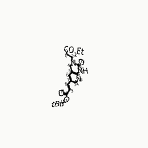 CCOC(=O)CCN1Cc2cc(/C=C/C(=O)OC(C)(C)C)cnc2NC1=O